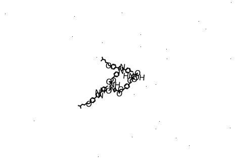 CC(C)CCCOc1ccc(-c2cnc(-c3ccc(C[C@H](NC(=O)OCc4ccc(COC(=O)C5CN(C(O)[C@H](Cc6ccc(-c7ncc(-c8ccc(OCCCC(C)C)cc8)cn7)cc6)NC(=O)OCc6ccccc6)C5)cc4)C(=O)O)cc3)nc2)cc1